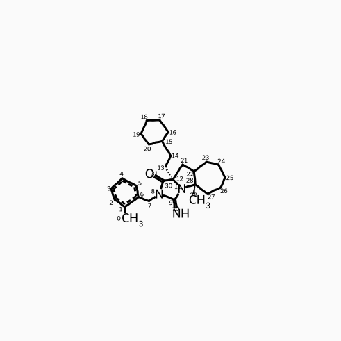 Cc1ccccc1CN1C(=N)N2[C@](CCC3CCCCC3)(CC3CCCCC[C@@]32C)C1=O